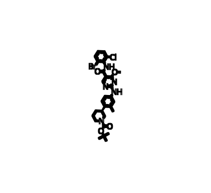 COc1nc(Nc2ccc([C@@H]3CCCN(C(=O)OC(C)(C)C)C3)c(C)c2)ncc1C(=O)Nc1c(Cl)cccc1Br